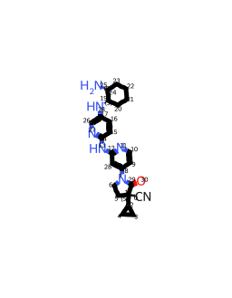 N#C[C@@]1(C2CC2)CCN(c2ccnc(Nc3ccc(N[C@H]4CCCC[C@@H]4N)cn3)c2)C1=O